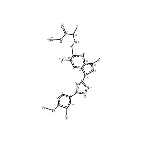 CC(C)Oc1ccc(-c2nc(-n3cc(Cl)c4cc(CNC(C)C(=O)OC(C)(C)C)c(C(F)(F)F)cc43)no2)cc1Cl